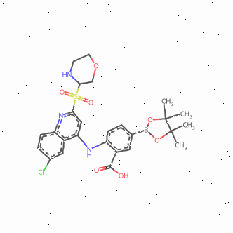 CC1(C)OB(c2ccc(Nc3cc(S(=O)(=O)C4COCCN4)nc4ccc(Cl)cc34)c(C(=O)O)c2)OC1(C)C